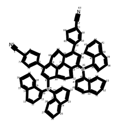 N#Cc1ccc(-c2cc(B(c3cccc4ccccc34)c3cccc4ccccc34)c3ccc4c(B(c5cccc6ccccc56)c5cccc6ccccc56)cc(-c5ccc(C#N)cc5)c5ccc2c3c45)cc1